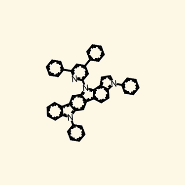 c1ccc(-c2cc(-c3ccccc3)nc(-n3c4cc5c6ccccc6n(-c6ccccc6)c5cc4c4ccc5c(ccn5-c5ccccc5)c43)c2)cc1